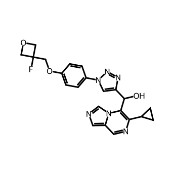 OC(c1cn(-c2ccc(OCC3(F)COC3)cc2)nn1)c1c(C2CC2)ncc2cncn12